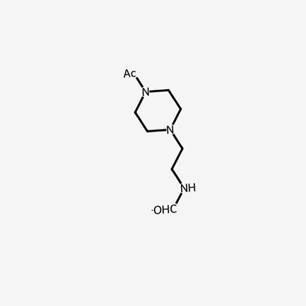 CC(=O)N1CCN(CCN[C]=O)CC1